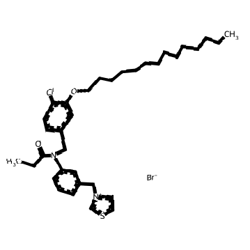 CCCCCCCCCCCCCCOc1cc(CN(C(=O)CC)c2cccc(C[n+]3ccsc3)c2)ccc1Cl.[Br-]